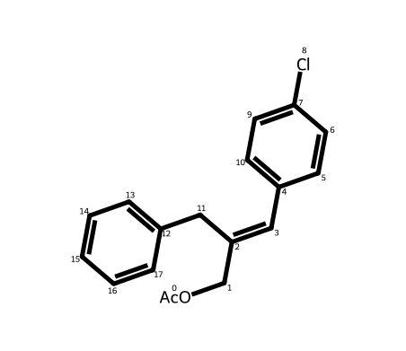 CC(=O)OCC(=Cc1ccc(Cl)cc1)Cc1ccccc1